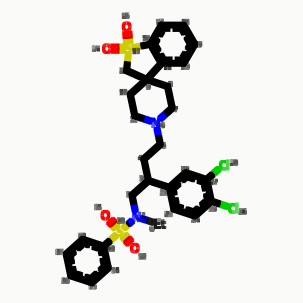 CCN(CC(CCN1CCC2(CC1)CS(=O)(=O)c1ccccc12)c1ccc(Cl)c(Cl)c1)S(=O)(=O)c1ccccc1